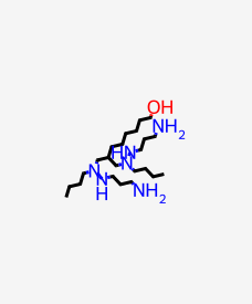 CCCCN(CC(CCCCCCO)CN(CCCC)NCCCN)NCCCN